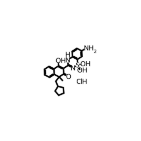 CC1(CC2CCCC2)C(=O)C(C2=NS(O)(O)c3cc(N)ccc3N2)=C(O)c2ccccc21.Cl